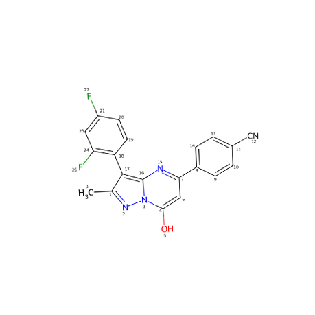 Cc1nn2c(O)cc(-c3ccc(C#N)cc3)nc2c1-c1ccc(F)cc1F